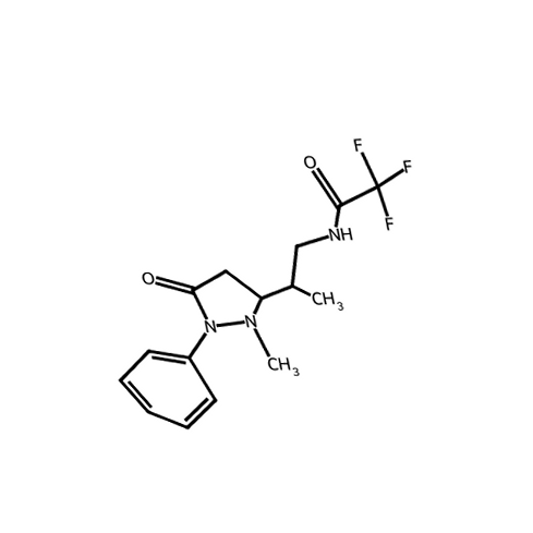 CC(CNC(=O)C(F)(F)F)C1CC(=O)N(c2ccccc2)N1C